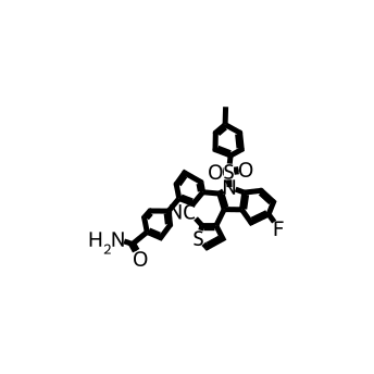 Cc1ccc(S(=O)(=O)n2c(-c3cccc(-c4ccc(C(N)=O)cc4)c3)c(-c3ccsc3C#N)c3cc(F)ccc32)cc1